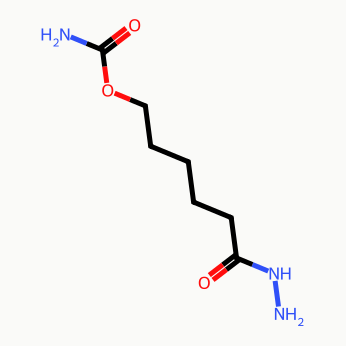 NNC(=O)CCCCCOC(N)=O